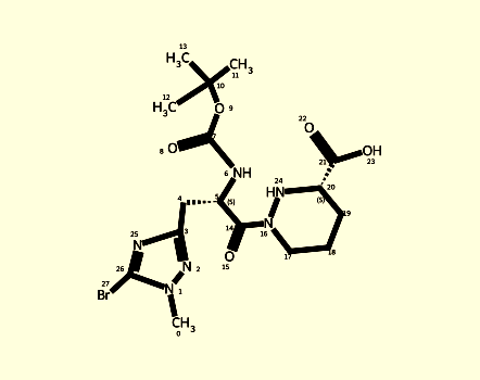 Cn1nc(C[C@H](NC(=O)OC(C)(C)C)C(=O)N2CCC[C@@H](C(=O)O)N2)nc1Br